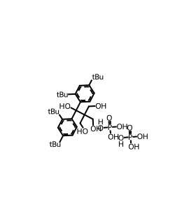 CC(C)(C)c1ccc(C(O)(c2ccc(C(C)(C)C)cc2C(C)(C)C)C(CO)(CO)CO)c(C(C)(C)C)c1.O=P(O)(O)O.O=P(O)(O)O